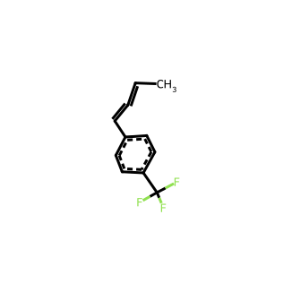 CC=C=Cc1ccc(C(F)(F)F)cc1